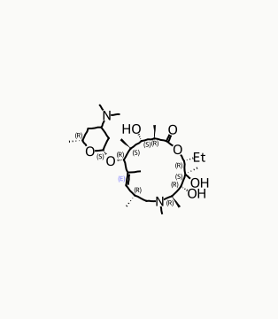 CC[C@H]1OC(=O)[C@H](C)[C@@H](O)[C@H](C)[C@@H](O[C@H]2CC(N(C)C)C[C@@H](C)O2)/C(C)=C/[C@@H](C)CN(C)[C@H](C)[C@@H](O)[C@]1(C)O